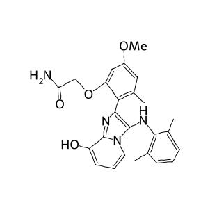 COc1cc(C)c(-c2nc3c(O)cccn3c2Nc2c(C)cccc2C)c(OCC(N)=O)c1